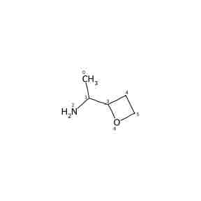 CC(N)[C]1CCO1